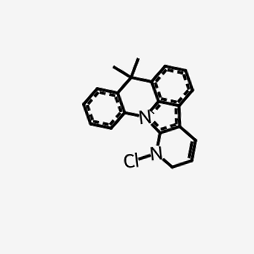 CC1(C)c2ccccc2-n2c3c(c4cccc1c42)C=CCN3Cl